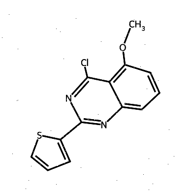 COc1cccc2nc(-c3cccs3)nc(Cl)c12